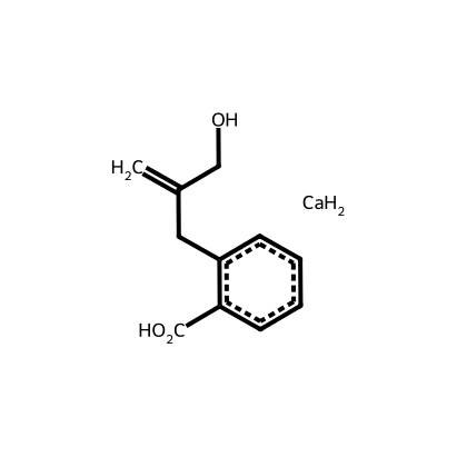 C=C(CO)Cc1ccccc1C(=O)O.[CaH2]